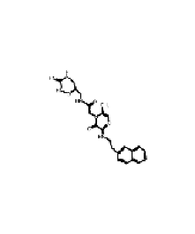 Cc1cnc(NCCc2ccc3ccccc3c2)c(=O)n1CC(=O)NCC1CNC(=N)NO1